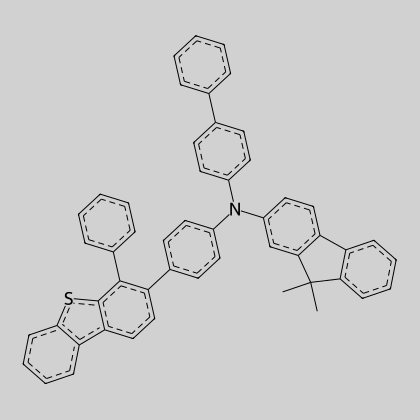 CC1(C)c2ccccc2-c2ccc(N(c3ccc(-c4ccccc4)cc3)c3ccc(-c4ccc5c(sc6ccccc65)c4-c4ccccc4)cc3)cc21